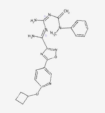 C=C(/N=C(N)\N=C(/N)c1noc(-c2ccc(OC3CCC3)nc2)n1)N(C)c1ccccc1